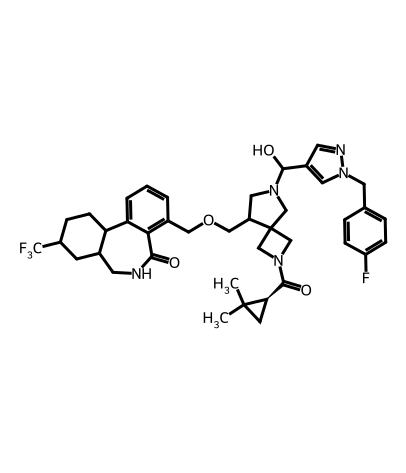 CC1(C)C[C@@H]1C(=O)N1CC2(C1)CN(C(O)c1cnn(Cc3ccc(F)cc3)c1)CC2COCc1cccc2c1C(=O)NCC1CC(C(F)(F)F)CCC21